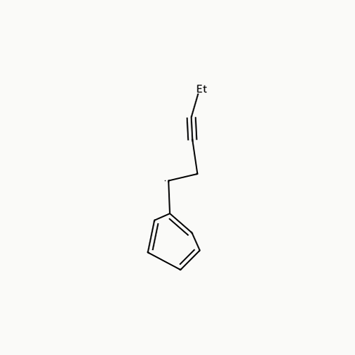 CCC#CC[CH]c1ccccc1